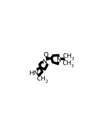 C=C1CC2(CCN(C(=O)C3CCN(C(C)C)CC3)CC2)CN1